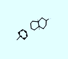 CCCC1CC[C@@H]2C[C@H](c3ccc(Cl)cc3)CC[C@@H]2C1